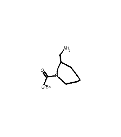 CC(C)COC(=O)N1CCCC1CN